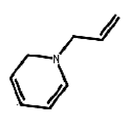 C=CCN1C=C[C]=CC1